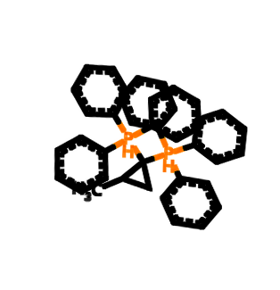 CC1CC1([PH](c1ccccc1)(c1ccccc1)c1ccccc1)[PH](c1ccccc1)(c1ccccc1)c1ccccc1